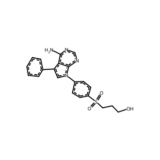 Nc1ncnc2c1c(-c1ccccc1)cn2-c1ccc(S(=O)(=O)CCCO)cc1